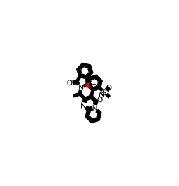 CC(c1nc2ccccn2c(=O)c1-c1ccccc1S(C)(=O)=O)N1C(=O)c2ccccc2C1=O